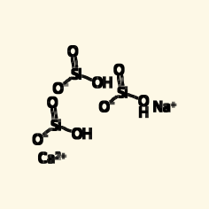 O=[Si]([O-])O.O=[Si]([O-])O.O=[Si]([O-])O.[Ca+2].[Na+]